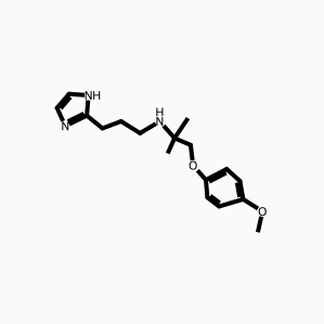 COc1ccc(OCC(C)(C)NCCCc2ncc[nH]2)cc1